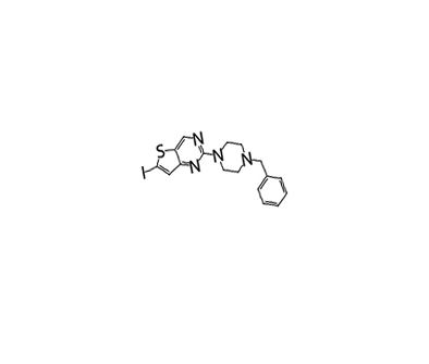 Ic1cc2nc(N3CCN(Cc4ccccc4)CC3)ncc2s1